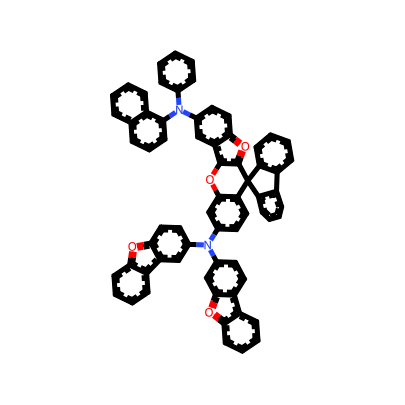 c1ccc(N(c2ccc3oc4c(c3c2)Oc2cc(N(c3ccc5c(c3)oc3ccccc35)c3ccc5oc6ccccc6c5c3)ccc2C42c3ccccc3-c3ccccc32)c2cccc3ccccc23)cc1